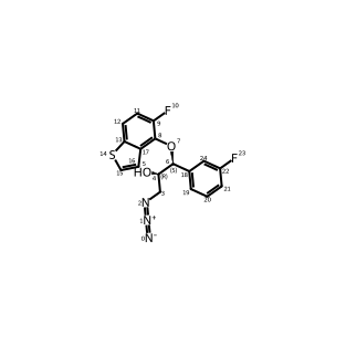 [N-]=[N+]=NC[C@@H](O)[C@@H](Oc1c(F)ccc2sccc12)c1cccc(F)c1